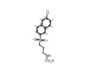 O=C(O)NCCCS(=O)(=O)c1ccc2cc(Cl)ccc2c1